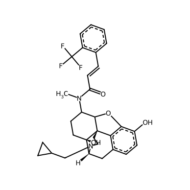 CN(C(=O)/C=C/c1ccccc1C(F)(F)F)C1CC[C@@]2(O)[C@H]3Cc4ccc(O)c5c4[C@@]2(CCN3CC2CC2)C1O5